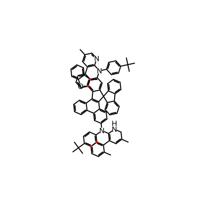 CC1=CC(c2ccccc2C)=C(N(c2ccc(C(C)(C)C)cc2)c2ccc3c4c(c5ccccc5c3c2)-c2c(cc(N(c3ccc(C(C)(C)C)cc3)c3ncc(C)cc3-c3ccccc3C)c3c2oc2ccccc23)C42c3ccccc3-c3ccccc32)NC1